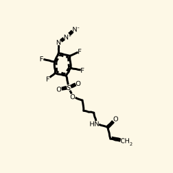 C=CC(=O)NCCCOS(=O)(=O)c1c(F)c(F)c(N=[N+]=[N-])c(F)c1F